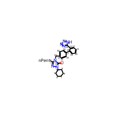 CCCCCc1nn(C2CCCCC2)c(=O)n1Cc1ccc(-c2ccccc2-c2nnn[nH]2)cc1